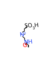 C=CC(=O)NCCC[N+](C)(C)CCCCS(=O)(=O)O